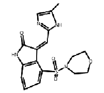 Cc1cnc(/C=C2\C(=O)Nc3cccc(S(=O)(=O)N4CCOCC4)c32)[nH]1